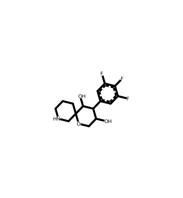 OC1COC2(CCCNC2)C(O)C1c1cc(F)c(F)c(F)c1